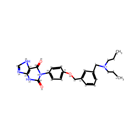 CCCN(CCC)Cc1cccc(COc2ccc(-n3c(=O)[nH]c4nc[nH]c4c3=O)cc2)c1